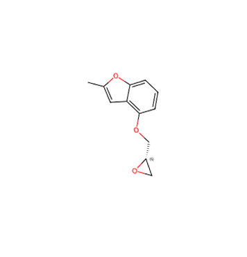 Cc1cc2c(OC[C@@H]3CO3)cccc2o1